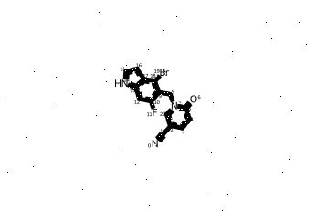 N#Cc1ccc(=O)n(Cc2c(F)cc3[nH]ccc3c2Br)c1